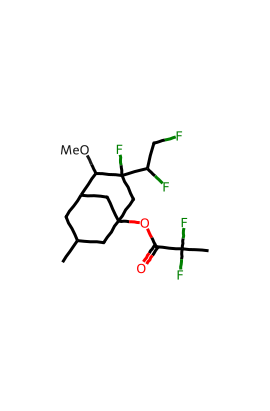 COC1C2CC(C)CC(OC(=O)C(C)(F)F)(C2)CC1(F)C(F)CF